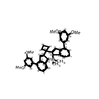 COc1cc(OC)cc(-c2cccc3c2C=C2[CH]3[Hf]([CH3])([CH3])[CH]3C(=Cc4c(-c5cc(OC)cc(OC)c5)cccc43)C23CCC3)c1